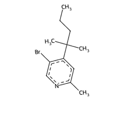 CCCC(C)(C)c1cc(C)ncc1Br